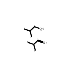 CC(C)C=O.CC(C)CO